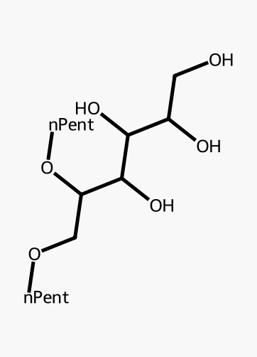 CCCCCOCC(OCCCCC)C(O)C(O)C(O)CO